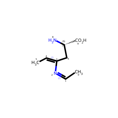 C/C=N\C(=C/C)C[C@H](N)C(=O)O